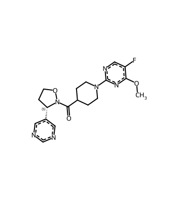 COc1nc(N2CCC(C(=O)N3OCC[C@H]3c3cncnc3)CC2)ncc1F